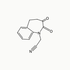 N#CCN1C(=O)C(=O)CCc2ccccc21